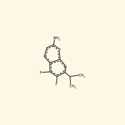 CC(C)c1cc2nc(N)ccc2c(F)c1F